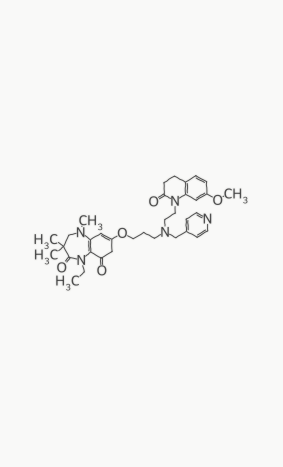 CCN1C(=O)C(C)(C)CN(C)C2=C1C(=O)CC(OCCCN(CCN1C(=O)CCc3ccc(OC)cc31)Cc1ccncc1)=C2